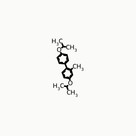 Cc1cc(OC(C)C)ccc1-c1ccc(OC(C)C)cc1